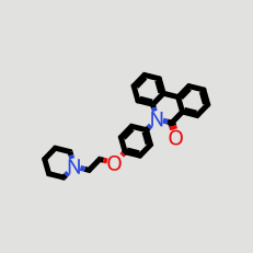 O=c1c2ccccc2c2ccccc2n1-c1ccc(OCCN2CCCCC2)cc1